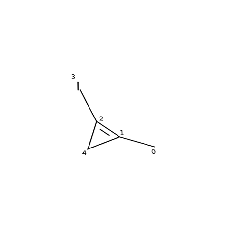 CC1=C(I)C1